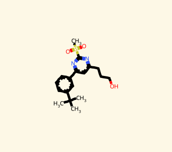 CC(C)(C)c1cccc(-c2cc(CCCO)nc(S(C)(=O)=O)n2)c1